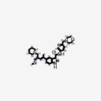 C=N/C=C(\C=C(/C)c1ccc2[nH]nc(C(=O)Nc3ccc(CN4CCOCC4)nc3)c2c1)CN1CCCCC1